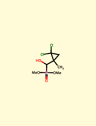 COP(=O)(OC)C(O)C1(C)CC1(Cl)Cl